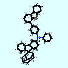 c1ccc(N(c2ccc(-c3cccc4c3sc3ccccc34)cc2)c2ccc3c(c2)-c2ccccc2C32C3CC4CC(C3)CC2C4)cc1